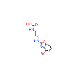 O=C(O)NCCCNc1nc2c(Br)cccc2o1